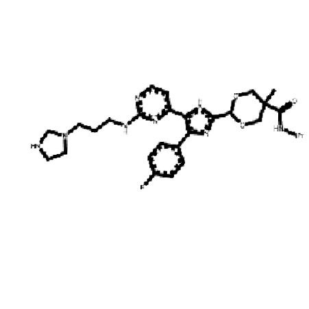 CC(C)NC(=O)C1(C)COC(c2nc(-c3ccc(F)cc3)c(-c3ccnc(NCCCN4CCNC4)n3)[nH]2)OC1